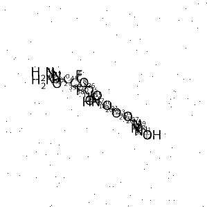 C/C(=C\c1cc(F)c(Oc2ccc(S(=O)(=O)NCCOCCOCCOCCn3cc(CO)nn3)cc2)c(F)c1)C(=O)N=C(N)N